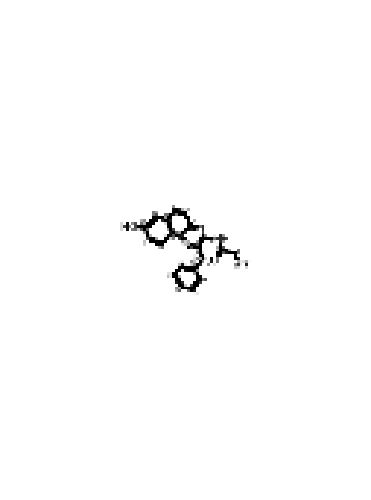 CC(C)CC(=O)Nc1nc2ccc3cc(O)ccc3c2nc1Cc1ccccc1